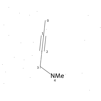 CC#C[CH]NC